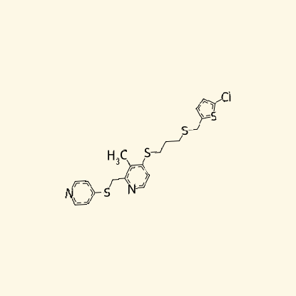 Cc1c(SCCCSCc2ccc(Cl)s2)ccnc1CSc1ccncc1